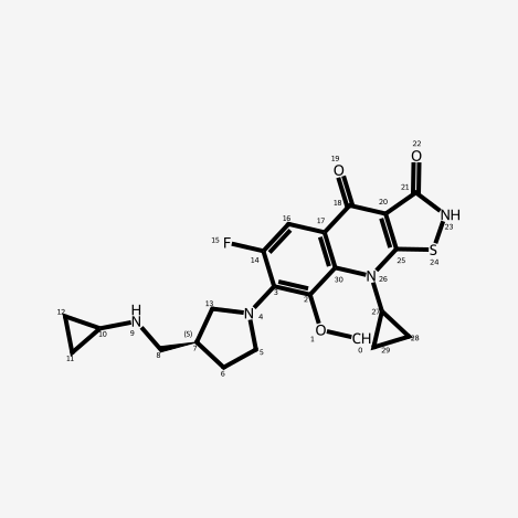 COc1c(N2CC[C@@H](CNC3CC3)C2)c(F)cc2c(=O)c3c(=O)[nH]sc3n(C3CC3)c12